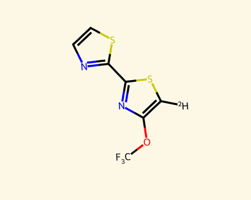 [2H]c1sc(-c2nccs2)nc1OC(F)(F)F